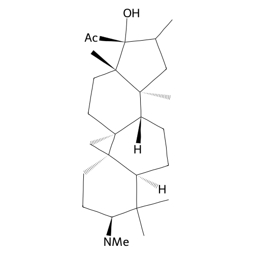 CN[C@H]1CC[C@]23C[C@@]24CC[C@]2(C)[C@@](O)(C(C)=O)C(C)C[C@@]2(C)[C@@H]4CC[C@H]3C1(C)C